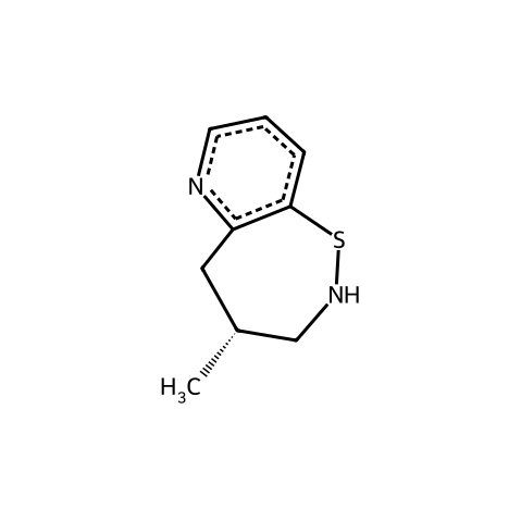 C[C@H]1CNSc2cccnc2C1